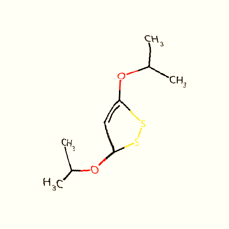 CC(C)OC1=CC(OC(C)C)SS1